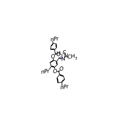 CCCc1ccc(C(=O)Oc2cc(CCC)c(OC(=O)c3ccc(CCC)cc3)cc2/C=N/N(C)C)cc1